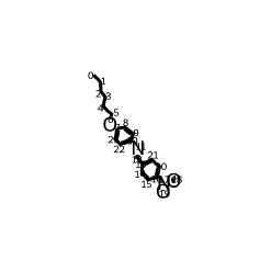 CCCCCCOc1ccc(/N=C/c2ccc([N+](=O)[O-])cc2)cc1